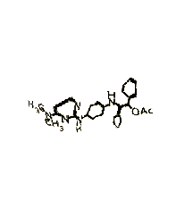 CC(=O)OC(C(=O)NC1CCC(Nc2nccc(N(C)C)n2)CC1)c1ccccc1